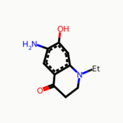 CCN1CCC(=O)c2cc(N)c(O)cc21